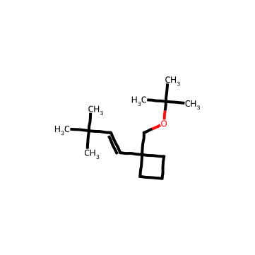 CC(C)(C)/C=C/C1(COC(C)(C)C)CCC1